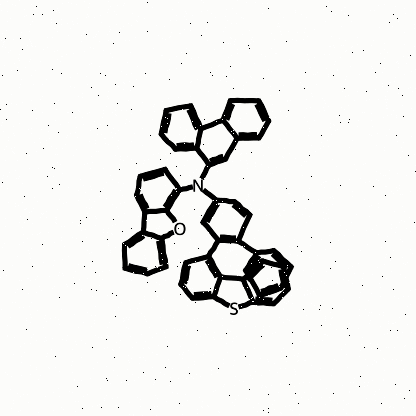 c1ccc(-c2ccc(N(c3cc4ccccc4c4ccccc34)c3cccc4c3oc3ccccc34)cc2-c2cccc3sc4ccccc4c23)cc1